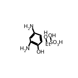 CCO.Nc1ccc(O)c(N)c1.O=S(=O)(O)O